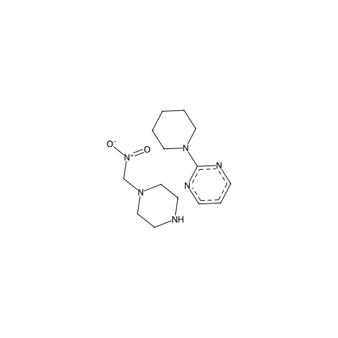 O=[N+]([O-])CN1CCNCC1.c1cnc(N2CCCCC2)nc1